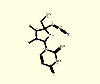 CC1C(n2ccc(=O)[nH]c2=O)OC(CO)(N=[N+]=[N-])C1C